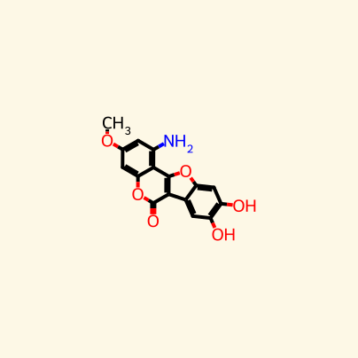 COc1cc(N)c2c(c1)oc(=O)c1c3cc(O)c(O)cc3oc21